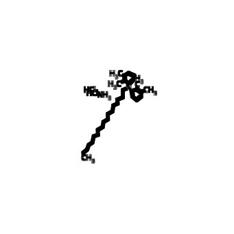 CCCCCCCCCCCCCCCCCCN(c1cccc(C)c1C)c1cccc(C)c1C.Cl.Cl.N